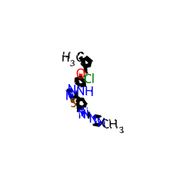 Cc1cccc(COc2ccc(Nc3ncnc4sc5c(c34)CCc3c-5cnn3CCN3CCN(C)CC3)cc2Cl)c1